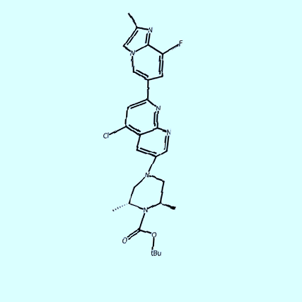 Cc1cn2cc(-c3cc(Cl)c4cc(N5C[C@@H](C)N(C(=O)OC(C)(C)C)[C@H](C)C5)cnc4n3)cc(F)c2n1